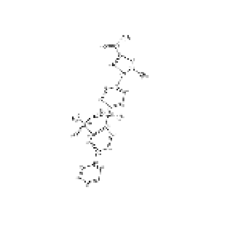 Cc1cc(C(N)=O)nn1-c1ccc(C(C)(C)c2ccc(-c3ccccc3)cc2S(C)(=O)=O)cc1